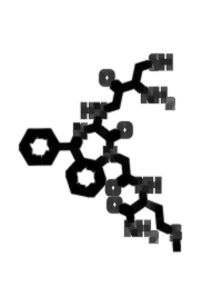 CSCC[C@H](NC(=O)CN1C(=O)C(NCC(=O)C(N)CS)N=C(c2ccccc2)c2ccccc21)C(N)=O